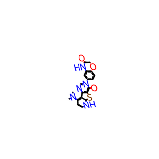 CN(C)C1=C2c3ncn(-c4ccc5c(c4)NC(=O)CO5)c(=O)c3SC2NC=C1